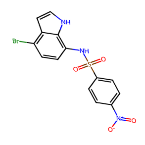 O=[N+]([O-])c1ccc(S(=O)(=O)Nc2ccc(Br)c3cc[nH]c23)cc1